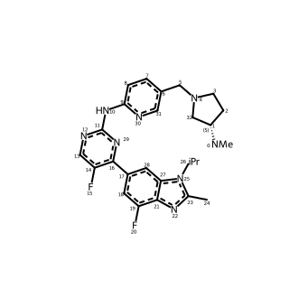 CN[C@H]1CCN(Cc2ccc(Nc3ncc(F)c(-c4cc(F)c5nc(C)n(C(C)C)c5c4)n3)nc2)C1